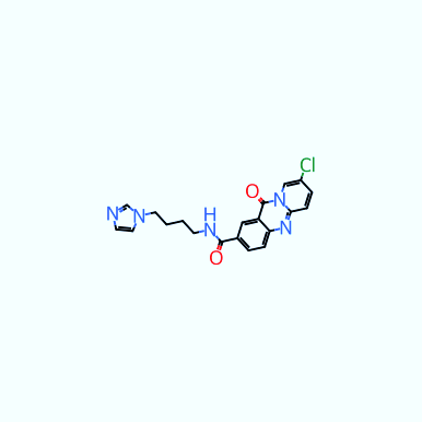 O=C(NCCCCn1ccnc1)c1ccc2nc3ccc(Cl)cn3c(=O)c2c1